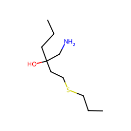 CCCSCCC(O)(CN)CCC